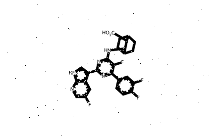 O=C(O)C1C2CCC(CC2)C1Nc1nc(-c2c[nH]c3ncc(F)cc23)nc(-c2ccc(F)c(F)c2)c1F